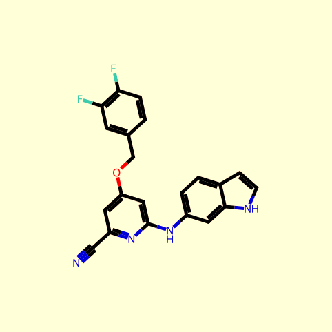 N#Cc1cc(OCc2ccc(F)c(F)c2)cc(Nc2ccc3cc[nH]c3c2)n1